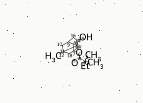 CCC(C)(C)C(=O)OC12CC3CC(C)(CC(O)(C3)C1)C2